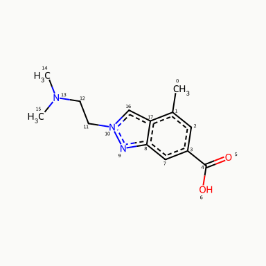 Cc1cc(C(=O)O)cc2nn(CCN(C)C)cc12